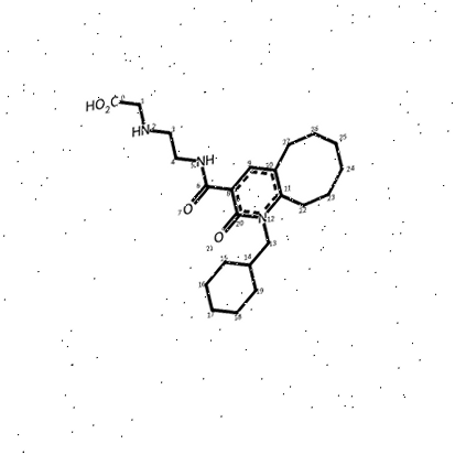 O=C(O)CNCCNC(=O)c1cc2c(n(CC3CCCCC3)c1=O)CCCCCC2